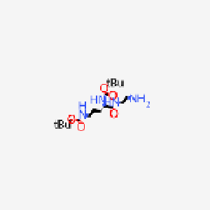 CC(C)(C)OC(=O)NCCC[C@H](NC(=O)OC(C)(C)C)C(=O)NCCN